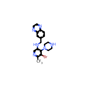 FC(F)(F)c1ncc(NCc2ccc3nccnc3c2)c(N2CCNCC2)c1Br